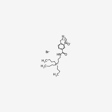 CCCC[P+](CCCC)(CCCC)CCCNC(=O)c1ccc(CC)c([N+](=O)[O-])c1.[Br-]